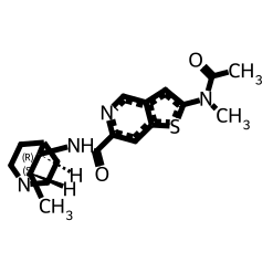 CC(=O)N(C)c1cc2cnc(C(=O)N[C@@H]3C4CCN(CC4)[C@H]3C)cc2s1